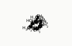 C[N+](C)(C)C1CCN(c2ccc(N)c(CC[Si](C)(C)C)c2)C1.C[n+]1ccn(C2CCN(c3ccc(N)c(CC[Si](C)(C)C)c3)C2)c1.Cl